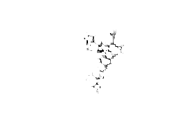 CC(C)n1nccc1C(=O)NC(C(=O)Nc1ccc(CC(=O)NC(CO)C2CCC2)cc1F)C(C1CC1)C1CC1